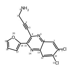 NCC#Cc1nc2cc(Cl)c(Cl)cc2nc1-c1ccco1